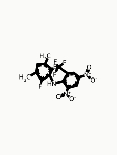 Cc1cc(C)c(Br)c(Nc2c([N+](=O)[O-])cc([N+](=O)[O-])cc2C(F)(F)F)c1F